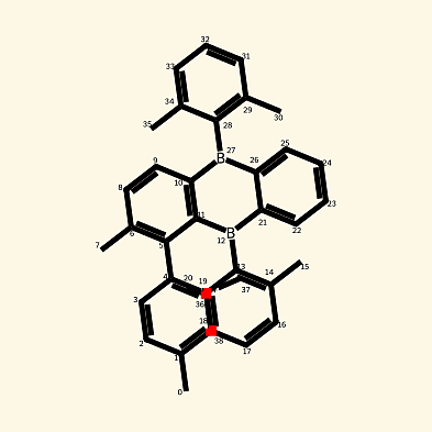 Cc1ccc(-c2c(C)ccc3c2B(c2c(C)cccc2C)c2ccccc2B3c2c(C)cccc2C)[n+](C)c1